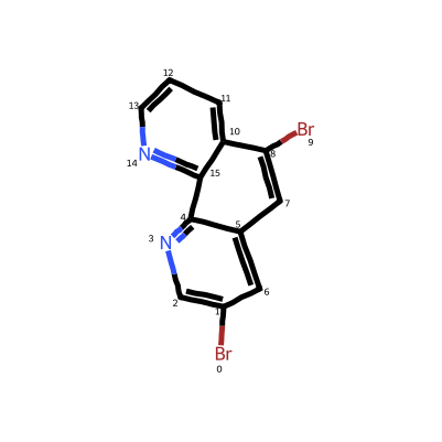 Brc1cnc2c(c1)cc(Br)c1cccnc12